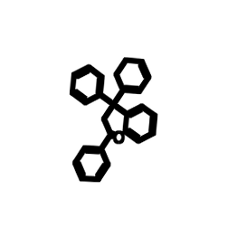 O=C(CC(C1=CC=CCC1)(c1ccccc1)c1ccccc1)c1ccccc1